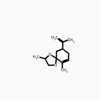 C=C(C)C1CC=C(C)C2(C1)OCC(C)O2